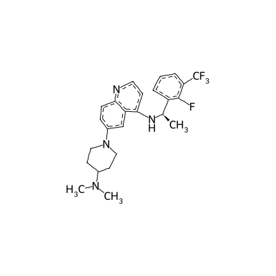 C[C@@H](Nc1ccnc2ccc(N3CCC(N(C)C)CC3)cc12)c1cccc(C(F)(F)F)c1F